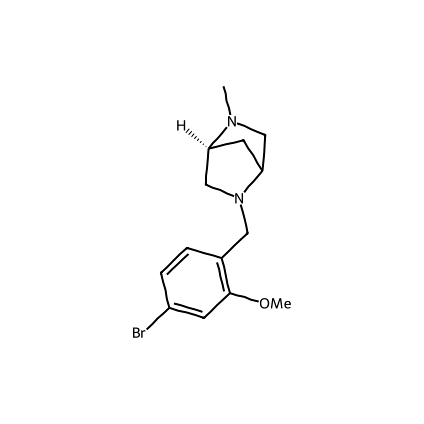 COc1cc(Br)ccc1CN1C[C@@H]2CC1CN2C